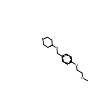 COCCOc1ccc(COC2CC[N]CC2)cc1